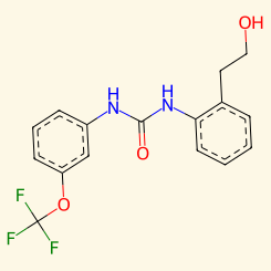 O=C(Nc1cccc(OC(F)(F)F)c1)Nc1ccccc1CCO